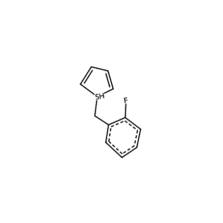 Fc1ccccc1C[SH]1C=CC=C1